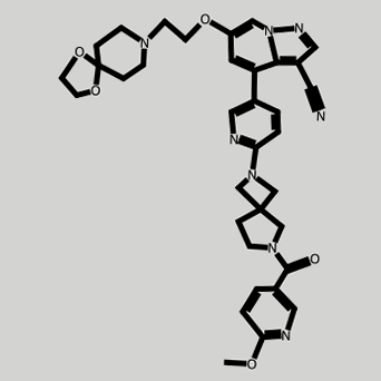 COc1ccc(C(=O)N2CCC3(C2)CN(c2ccc(-c4cc(OCCN5CCC6(CC5)OCCO6)cn5ncc(C#N)c45)cn2)C3)cn1